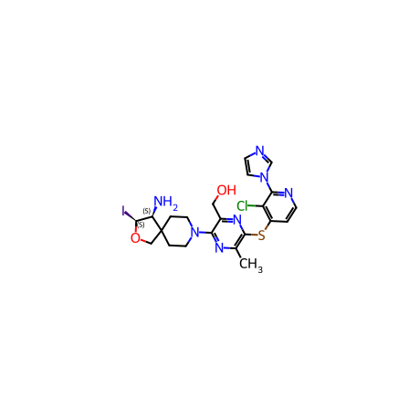 Cc1nc(N2CCC3(CC2)CO[C@@H](I)[C@H]3N)c(CO)nc1Sc1ccnc(-n2ccnc2)c1Cl